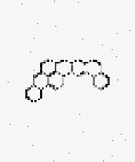 c1ccc2c(c1)ccc1cc3cc4ccc5cc6ccccc6c6ccc(c3cc12)c4c56